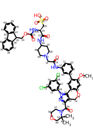 COc1cc2c(cc1-c1cccc(NC(=O)CN3CCC(NC(=O)[C@H](CS(=O)(=O)O)NC(=O)OCC4c5ccccc5-c5ccccc54)CC3)c1)-c1c(c(C(=O)N3CCOCC3(C)C)nn1-c1cc(Cl)cc(Cl)c1)CO2